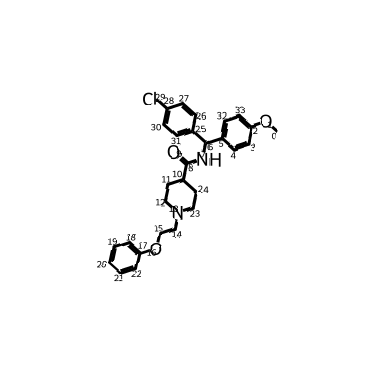 COc1ccc(C(NC(=O)C2CCN(CCOc3ccccc3)CC2)c2ccc(Cl)cc2)cc1